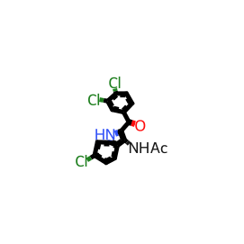 CC(=O)Nc1c(C(=O)c2ccc(Cl)c(Cl)c2)[nH]c2cc(Cl)ccc12